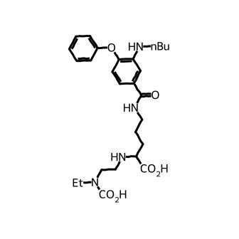 CCCCNc1cc(C(=O)NCCCC(NCCN(CC)C(=O)O)C(=O)O)ccc1Oc1ccccc1